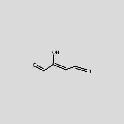 O=CC=C(O)C=O